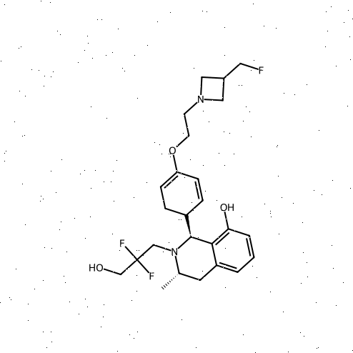 C[C@H]1Cc2cccc(O)c2[C@H](C2C=CC(OCCN3CC(CF)C3)=CC2)N1CC(F)(F)CO